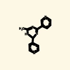 CC1=NC(c2cccnc2)=NC(c2ccncc2)N1